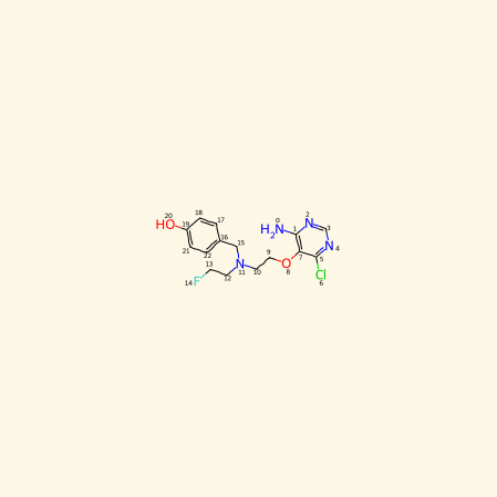 Nc1ncnc(Cl)c1OCCN(CCF)Cc1ccc(O)cc1